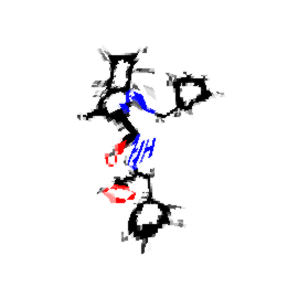 Cc1c(C(=O)NC(C=O)Cc2ccccc2)n(Cc2ccccc2)c2ccccc12